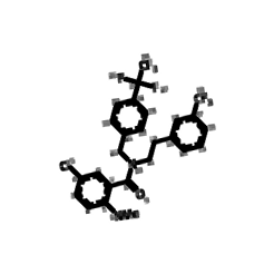 CNc1ccc(Cl)cc1C(=O)N(CCc1cccc(C(F)(F)F)c1)Cc1ccc(C(F)(F)C(F)(F)F)cc1